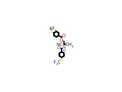 C[C@](C#N)(COC(=O)c1ccc(SC(F)(F)F)cc1)NC(=O)c1ccc(SC(F)(F)F)cc1